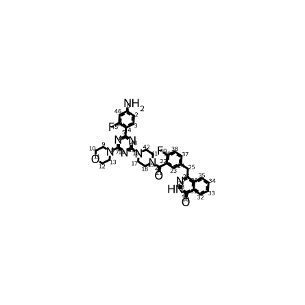 Nc1ccc(-c2nc(N3CCOCC3)nc(N3CCN(C(=O)c4cc(Cc5n[nH]c(=O)c6ccccc56)ccc4F)CC3)n2)c(F)c1